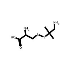 CC(C)(CN)SSCC(N)C(=O)O